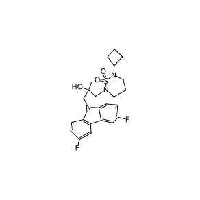 CC(O)(CN1CCCN(C2CCC2)S1(=O)=O)Cn1c2ccc(F)cc2c2cc(F)ccc21